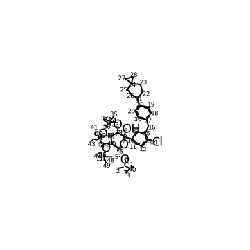 C[Si](C)(C)OC[C@H]1OC(O)(c2ccc(Cl)c(Cc3ccc(C4CCC5(CC4)CC5)cc3)c2)[C@H](O[Si](C)(C)C)[C@@H](O[Si](C)(C)C)[C@@H]1O[Si](C)(C)C